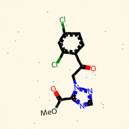 COC(=O)c1ncnn1CC(=O)c1ccc(Cl)cc1Cl